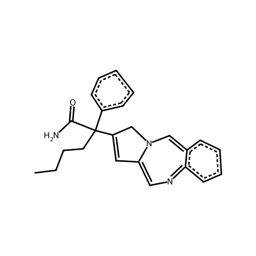 CCCCC(C(N)=O)(C1=CC2=CN=c3ccccc3=CN2C1)c1ccccc1